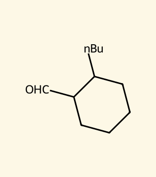 CCCCC1CCCCC1C=O